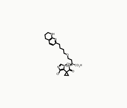 Cn1cnc(Cl)c1C1(C(=O)N[C@@H](CCOCCCCc2ccc3c(n2)NCCC3)C(=O)O)CC1